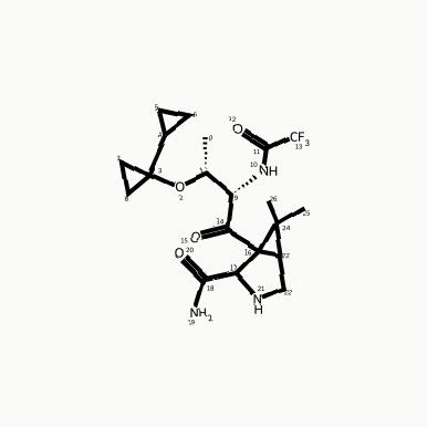 C[C@@H](OC1(C2CC2)CC1)[C@H](NC(=O)C(F)(F)F)C(=O)C12C(C(N)=O)NCC1C2(C)C